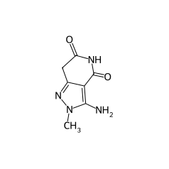 Cn1nc2c(c1N)C(=O)NC(=O)C2